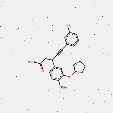 COC(=O)CC(C#Cc1cccc(C(F)(F)F)c1)c1ccc(OC)c(OC2CCCC2)c1